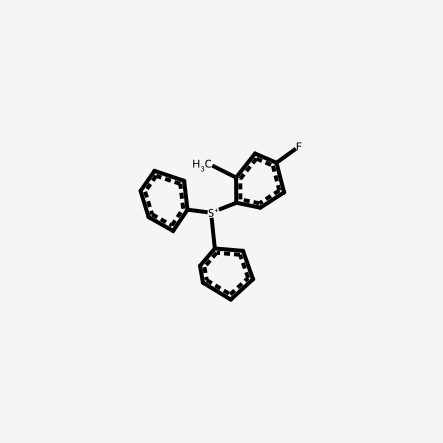 Cc1cc(F)ccc1[S+](c1ccccc1)c1ccccc1